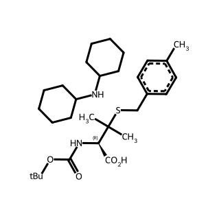 C1CCC(NC2CCCCC2)CC1.Cc1ccc(CSC(C)(C)[C@H](NC(=O)OC(C)(C)C)C(=O)O)cc1